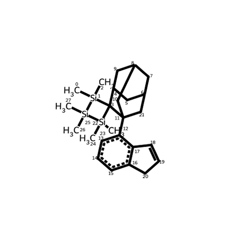 C[Si]1(C)C2([C]3CC4CC(C3)CC2(c2cccc3c2C=CC3)C4)[Si](C)(C)[Si]1(C)C